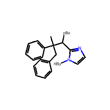 CCCCC(c1nccn1CCCC)C(C)(Cc1ccccc1)c1ccccc1